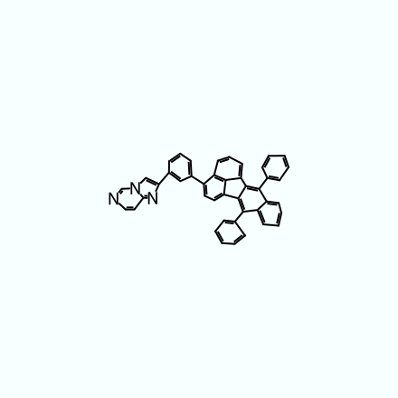 c1ccc(-c2c3c(c(-c4ccccc4)c4ccccc24)-c2ccc(-c4cccc(-c5cn6cnccc6n5)c4)c4cccc-3c24)cc1